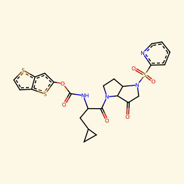 O=C(NC(CC1CC1)C(=O)N1CCC2C1C(=O)CN2S(=O)(=O)c1ccccn1)Oc1cc2sccc2s1